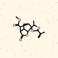 C=C(C)C(=O)OC1(C(C)C)C2CC3C(C(=O)OC31)C2C(=O)OC